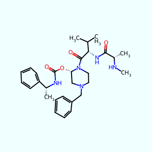 CN[C@@H](C)C(=O)N[C@H](C(=O)N1CCN(Cc2ccccc2)C[C@@H]1OC(=O)N[C@H](C)c1ccccc1)C(C)C